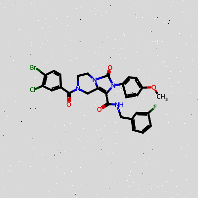 COc1ccc(-n2c(C(=O)NCc3cccc(F)c3)c3n(c2=O)CCN(C(=O)c2ccc(Br)c(Cl)c2)C3)cc1